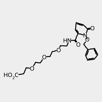 O=C(O)CCOCCOCCOCCNC(=O)c1cccc(=O)n1OCc1ccccc1